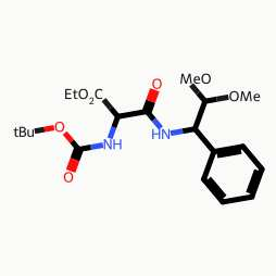 CCOC(=O)C(NC(=O)OC(C)(C)C)C(=O)NC(c1ccccc1)C(OC)OC